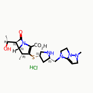 C[C@@H](O)[C@H]1C(=O)N2C(C(=O)O)=C(S[C@@H]3CN[C@H](CN4CCN5C4=CCN5C)C3)[C@H](C)[C@H]12.Cl